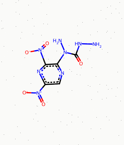 NNC(=O)N(N)c1ncc([N+](=O)[O-])nc1[N+](=O)[O-]